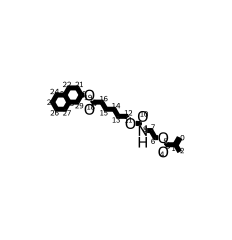 C=C(C)C(=O)OCCNC(=O)OCCCCCC(=O)OC1CCC2CCCCC2C1